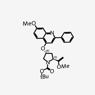 C=C(OC)[C@@H]1C[C@@H](Oc2cc(-c3ccccc3)nc3cc(OC)ccc23)CN1C(=O)OC(C)(C)C